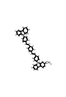 CC1C=Cc2c(n(-c3ccc(/C=C/c4ccc(/C=C/c5ccc(-n6c7ccccc7c7ccccc76)cc5)cc4)cc3)c3ccccc23)C1